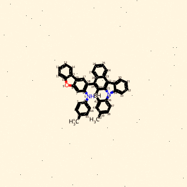 Cc1ccc(Nc2cc3oc4ccccc4c3cc2-c2c3c4c(c5ccccc25)c2ccccc2n4-c2ccc(C)cc2B3)cc1